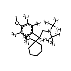 [2H]c1c([2H])c(C([2H])(CN(C([2H])([2H])[2H])C([2H])([2H])[2H])C2(O)CCCCC2)c([2H])c([2H])c1OC